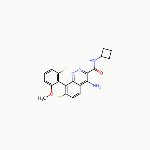 COc1cccc(F)c1-c1c(F)ccc2c(N)c(C(=O)NC3CCC3)nnc12